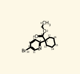 CCOC(=O)C1(c2ccc(Br)cn2)CCCCC1